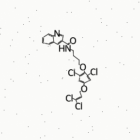 O=C(NCCCCOc1c(Cl)cc(OCC=C(Cl)Cl)cc1Cl)c1cnc2ccccc2c1